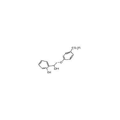 CCOC(=O)c1ccc(OCC(O)c2ccccc2O)cc1